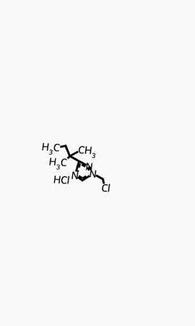 CCC(C)(C)c1ncn(CCl)n1.Cl